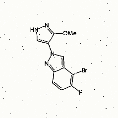 COc1n[nH]cc1-n1cc2c(Br)c(F)ccc2n1